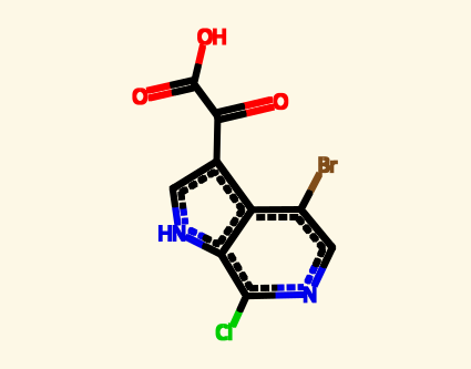 O=C(O)C(=O)c1c[nH]c2c(Cl)ncc(Br)c12